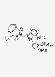 C=CC(=O)N(CCn1nc(-c2ccc(OC)c(OC)c2)c2c(N)ncnc21)C(=O)c1ccccc1